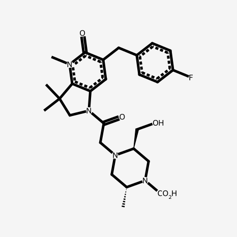 C[C@@H]1CN(CC(=O)N2CC(C)(C)c3c2cc(Cc2ccc(F)cc2)c(=O)n3C)[C@@H](CO)CN1C(=O)O